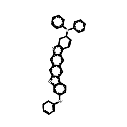 C1=CCCC(Nc2ccc3c(c2)oc2cc4cc5sc6c(c5cc4cc23)C=CC(N(c2ccccc2)c2ccccc2)C6)=C1